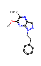 CCOC(=O)c1nc2cnn(CCc3ccccc3)c2nc1OCC